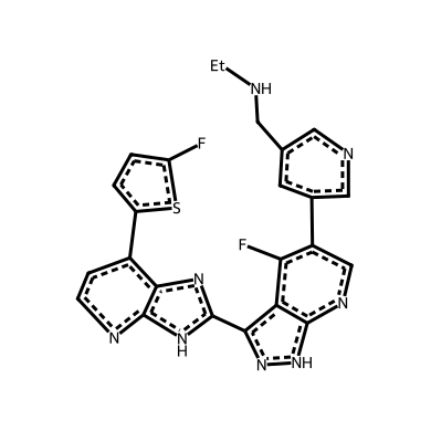 CCNCc1cncc(-c2cnc3[nH]nc(-c4nc5c(-c6ccc(F)s6)ccnc5[nH]4)c3c2F)c1